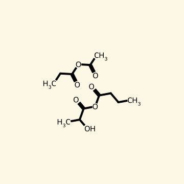 CCC(=O)OC(C)=O.CCCC(=O)OC(=O)C(C)O